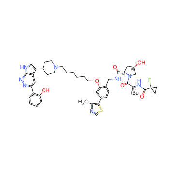 Cc1ncsc1-c1ccc(CNC(=O)[C@@H]2C[C@@H](O)CN2C(=O)[C@@H](NC(=O)C2(F)CC2)C(C)(C)C)c(OCCCCCCN2CCC(c3c[nH]c4nnc(-c5ccccc5O)cc34)CC2)c1